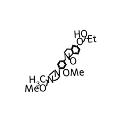 CC[C@H](O)COc1ccc2c(c1)CCN(c1ccc(N3CCCN(C(C)COC)CC3)c(OC)c1)C2=O